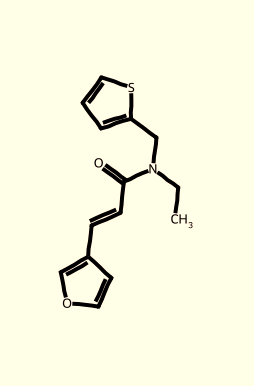 CCN(Cc1cccs1)C(=O)/C=C/c1ccoc1